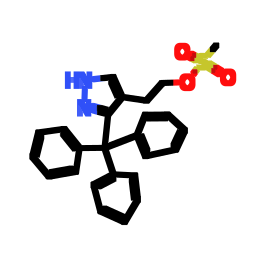 CS(=O)(=O)OCCc1c[nH]nc1C(c1ccccc1)(c1ccccc1)c1ccccc1